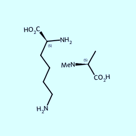 CN[C@@H](C)C(=O)O.NCCCC[C@H](N)C(=O)O